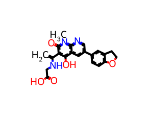 C=C(NCC(=O)O)c1c(O)c2cc(-c3ccc4c(c3)CCO4)cnc2n(C)c1=O